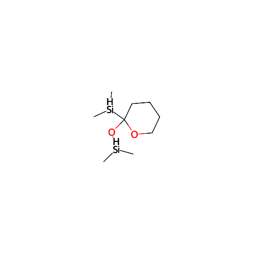 C[SiH](C)OC1([SiH](C)C)CCCCO1